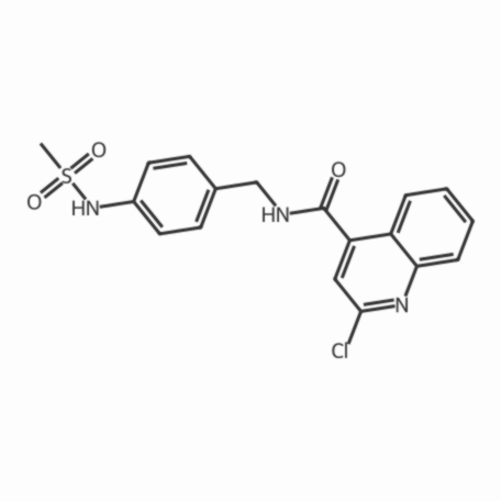 CS(=O)(=O)Nc1ccc(CNC(=O)c2cc(Cl)nc3ccccc23)cc1